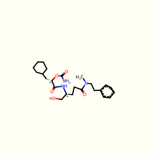 CN(CCc1ccccc1)C(=O)CC[C@@H](CO)NC(=O)[C@H](CC1CCCCC1)OC(N)=O